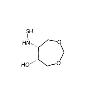 O[C@H]1COCOC[C@H]1NS